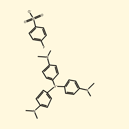 CN(C)c1ccc([S+](c2ccc(N(C)C)cc2)c2ccc(N(C)C)cc2)cc1.O=S(=O)([O-])c1ccc(F)cc1